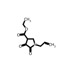 C=CCN1CC(C(=O)OCC)C(=O)C1=O